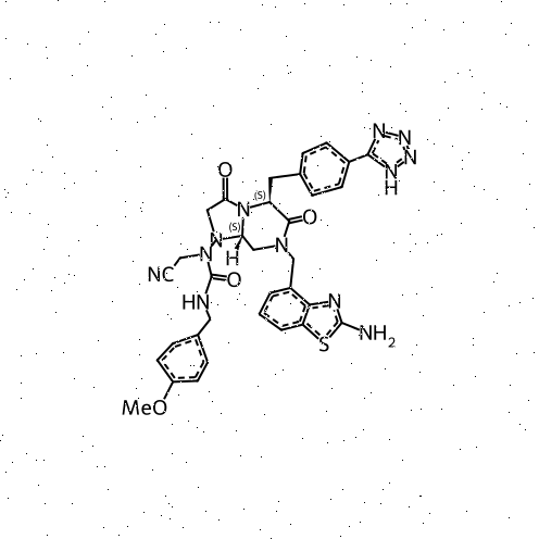 COc1ccc(CNC(=O)N(CC#N)N2CC(=O)N3[C@@H](Cc4ccc(-c5nnn[nH]5)cc4)C(=O)N(Cc4cccc5sc(N)nc45)C[C@@H]32)cc1